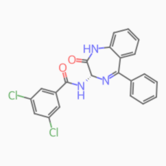 O=C(N[C@H]1N=C(c2ccccc2)c2ccccc2NC1=O)c1cc(Cl)cc(Cl)c1